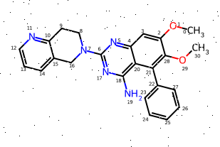 COc1cc2nc(N3CCc4ncccc4C3)nc(N)c2c(-c2ccccc2)c1OC